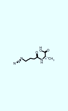 C[C@H](NC(=O)CCCN=[N+]=[N-])C(=O)O